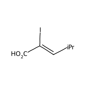 CC(C)/C=C(\I)C(=O)O